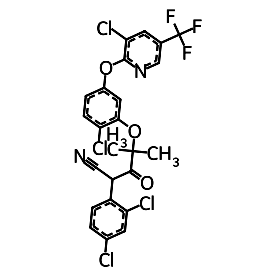 CC(C)(Oc1cc(Oc2ncc(C(F)(F)F)cc2Cl)ccc1Cl)C(=O)C(C#N)c1ccc(Cl)cc1Cl